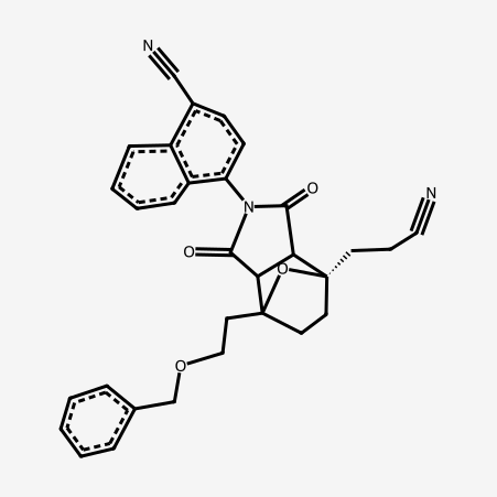 N#CCC[C@]12CCC(CCOCc3ccccc3)(O1)C1C(=O)N(c3ccc(C#N)c4ccccc34)C(=O)C12